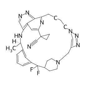 C[C@H]1Nc2cnnc3c(nc(C4(C#N)CC4)cc23)CCCCn2cc(nn2)CN2CCC(CC2)C(F)(F)c2cccc1c2